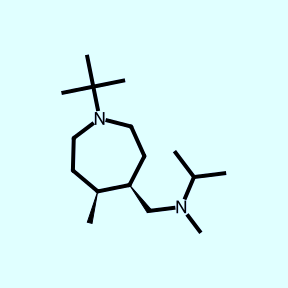 CC(C)N(C)C[C@@H]1CCN(C(C)(C)C)CC[C@@H]1C